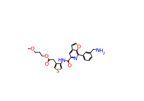 COCCCOC(=O)Cc1cscc1NC(=O)c1cc2ccoc2c(-c2cccc(CN)c2)n1